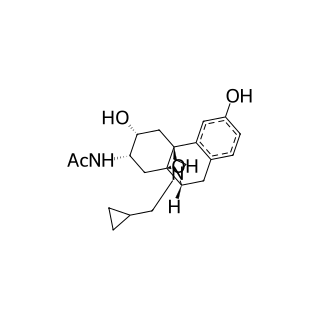 CC(=O)N[C@H]1C[C@@]2(O)[C@H]3Cc4ccc(O)cc4[C@@]2(CCN3CC2CC2)C[C@H]1O